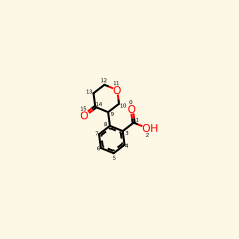 O=C(O)c1ccccc1C1COCCC1=O